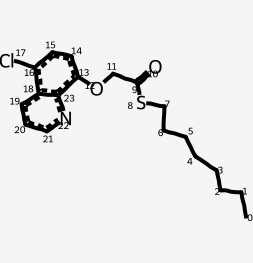 CCCCCCCCSC(=O)COc1ccc(Cl)c2cccnc12